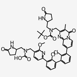 COc1nc(-c2cccc(-c3cccc(-c4ccn5c(=O)c(C)c(CN(CC6CCC(=O)N6)C(=O)OC(C)(C)C)nc5c4)c3Cl)c2Cl)ccc1CN(CC1CCC(=O)N1)C(=O)O